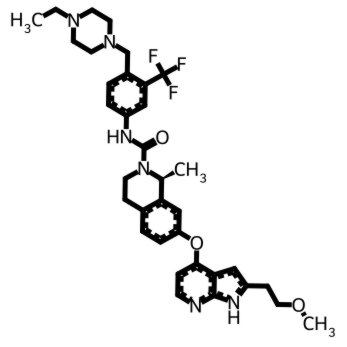 CCN1CCN(Cc2ccc(NC(=O)N3CCc4ccc(Oc5ccnc6[nH]c(CCOC)cc56)cc4[C@@H]3C)cc2C(F)(F)F)CC1